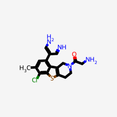 Cc1cc(/C(C=N)=C/N)c2c3c(sc2c1Cl)CCN(C(=O)CN)C3